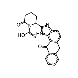 O=C1c2ccccc2Cc2ccc3nc([C@@H]4CCCC(=O)N4C(O)=S)[nH]c3c21